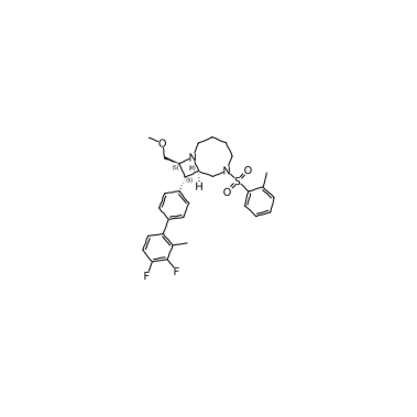 COC[C@@H]1[C@@H](c2ccc(-c3ccc(F)c(F)c3C)cc2)[C@@H]2CN(S(=O)(=O)c3ccccc3C)CCCCN12